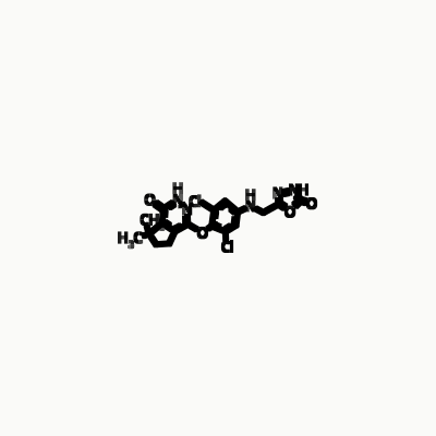 CC1(C)CCc2c(Oc3c(Cl)cc(NCc4n[nH]c(=O)o4)cc3Cl)n[nH]c(=O)c21